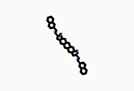 C(=C\c1cc2cc3cc4cc5cc(/C=C/c6ccc7ccccc7c6)sc5cc4cc3cc2s1)/c1ccc2ccccc2c1